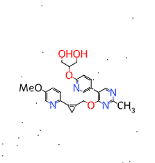 COc1ccc(C2=C(COc3nc(C)ncc3-c3ccc(OC(CO)CO)nc3)C2)nc1